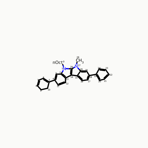 CCCCCCCCn1c2cc(C3=CC=CCC3)ccc2c2c3ccc(-c4ccccc4)cc3n(C)c21